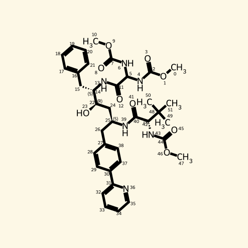 COC(=O)NC(NC(=O)OC)C(=O)N[C@@H](Cc1ccccc1)[C@H](O)C[C@H](Cc1ccc(-c2ccccn2)cc1)NC(=O)[C@@H](NC(=O)OC)C(C)(C)C